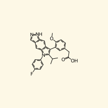 COc1ccc(CC(=O)O)cc1-c1c(C(C)C)n(-c2ccc(F)cc2)c2cc3cn[nH]c3cc12